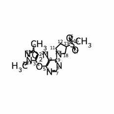 Cc1cc(Oc2ncnc(N3CCC(S(C)(=O)=O)C3)c2[N+](=O)[O-])n(C)n1